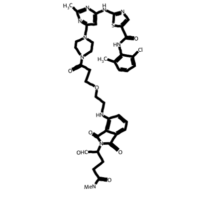 CNC(=O)CCC(C=O)N1C(=O)c2cccc(NCCOCCC(=O)N3CCN(c4cc(Nc5ncc(C(=O)Nc6c(C)cccc6Cl)s5)nc(C)n4)CC3)c2C1=O